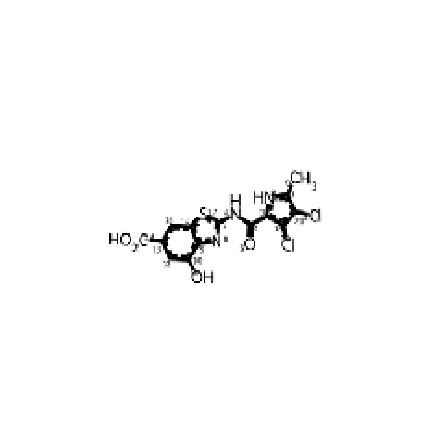 Cc1[nH]c(C(=O)Nc2nc3c(O)cc(C(=O)O)cc3s2)c(Cl)c1Cl